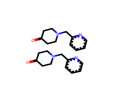 O=C1CCN(Cc2ccccn2)CC1.O=C1CCN(Cc2ccccn2)CC1